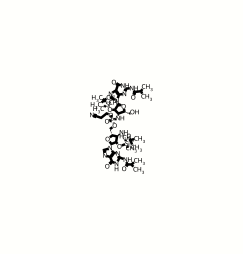 CC(C)C(=O)Nc1nc2c(ncn2[C@@H]2O[C@H](COP(=O)(N[C@H]3C(O[Si](C)(C)C(C)(C)C)[C@H](n4cnc5c(=O)[nH]c(NC(=O)C(C)C)nc54)O[C@@H]3CO)OCCC#N)[C@@H](N)C2O[Si](C)(C)C(C)(C)C)c(=O)[nH]1